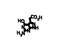 Nc1nc(O)c2c(CC(=O)O)n[nH]c2n1